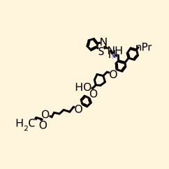 C=CC(=O)OCCCCCCOc1ccc(OC(O)C2CCC(COc3ccc(-c4ccc(CCC)cc4)c(/C=N/Nc4nc5ccccc5s4)c3)CC2)cc1